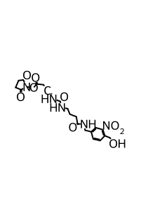 O=C(CCCNC(=O)NCCCC(=O)ON1C(=O)CCC1=O)NCc1ccc(CO)c([N+](=O)[O-])c1